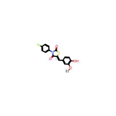 CCOc1cc(/C=C2\SC(=O)N(c3ccc(F)cc3)C2=O)ccc1O